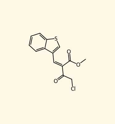 COC(=O)/C(=C\c1csc2ccccc12)C(=O)CCl